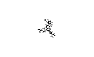 C=CC(=O)N1CCN(c2nc(N3CC(N(CC)CC)C3)nc3c(=O)n(-c4c(C)ccc(N)c4F)c(C)cc23)CC1